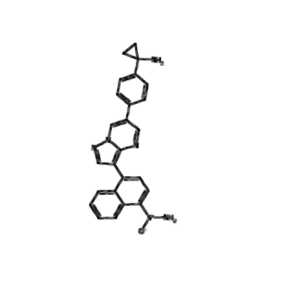 N[S+]([O-])c1ccc(-c2cnn3cc(-c4ccc(C5(N)CC5)cc4)cnc23)c2ccccc12